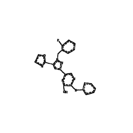 Oc1nc(-c2cc(-c3ncco3)n(Cc3ccccc3F)n2)cnc1Sc1ccccc1